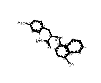 COC(=O)C(Cc1ccc(OC)cc1)Nc1ccc([N+](=O)[O-])c2ccccc12